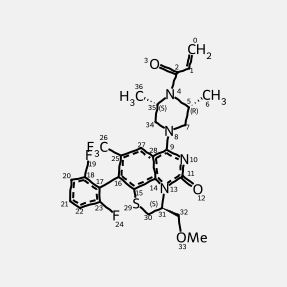 C=CC(=O)N1[C@H](C)CN(c2nc(=O)n3c4c(c(-c5c(F)cccc5F)c(C(F)(F)F)cc24)SC[C@@H]3COC)C[C@@H]1C